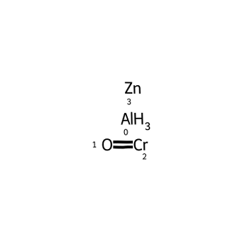 [AlH3].[O]=[Cr].[Zn]